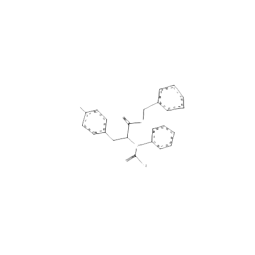 Cc1ccc(CC(C(=O)OCc2ccccc2)N(C(N)=S)c2ccccc2)cc1